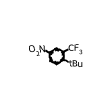 CC(C)(C)c1ccc([N+](=O)[O-])cc1C(F)(F)F